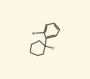 CCC1(c2ccccc2Br)CCCCC1